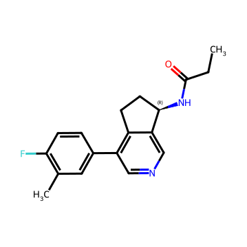 CCC(=O)N[C@@H]1CCc2c(-c3ccc(F)c(C)c3)cncc21